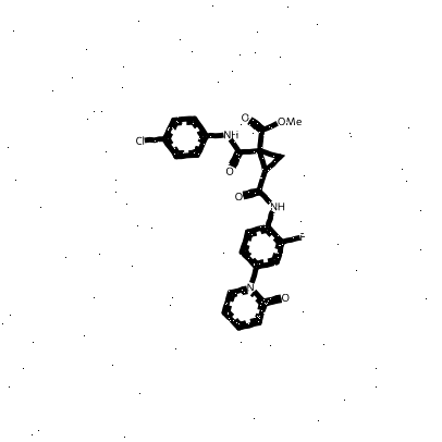 COC(=O)C1(C(=O)Nc2ccc(Cl)cc2)CC1C(=O)Nc1ccc(-n2ccccc2=O)cc1F